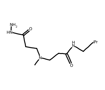 CC(C)CNC(=O)CCN(C)CCC(=O)NN